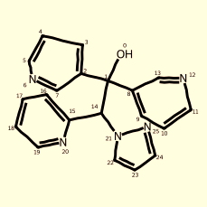 OC(c1cccnc1)(c1cccnc1)C(c1ccccn1)n1cccn1